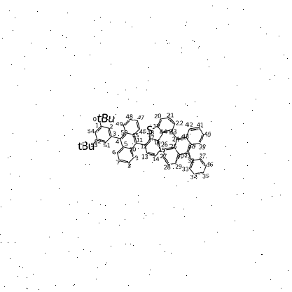 CC(C)(C)c1cc(-c2c3ccccc3c(-c3cccc4c3sc3cccc(-c5c6ccccc6c(-c6ccccc6)c6ccccc56)c34)c3ccccc23)cc(C(C)(C)C)c1